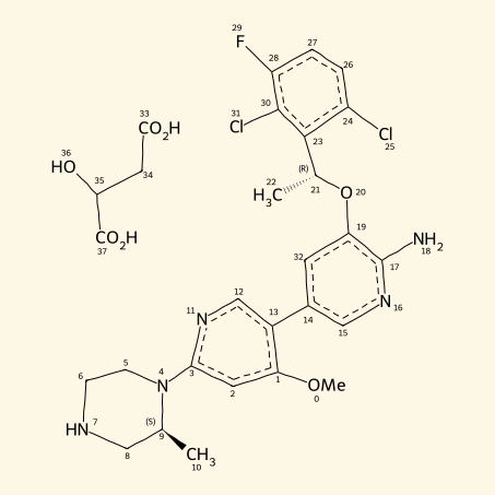 COc1cc(N2CCNC[C@@H]2C)ncc1-c1cnc(N)c(O[C@H](C)c2c(Cl)ccc(F)c2Cl)c1.O=C(O)CC(O)C(=O)O